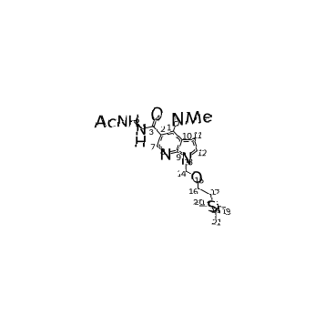 CNc1c(C(=O)NNC(C)=O)cnc2c1ccn2COCC[Si](C)(C)C